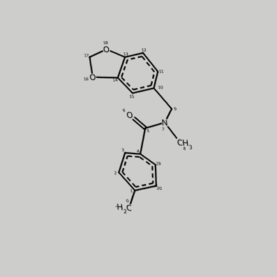 [CH2]c1ccc(C(=O)N(C)Cc2ccc3c(c2)OCO3)cc1